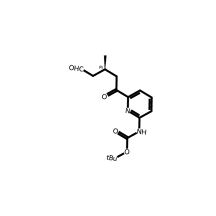 C[C@H](CC=O)CC(=O)c1cccc(NC(=O)OC(C)(C)C)n1